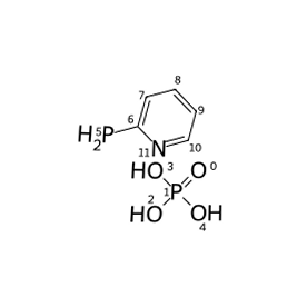 O=P(O)(O)O.Pc1ccccn1